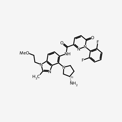 COCCn1c(C)nc2c(N3CC[C@H](N)C3)c(NC(=O)c3ccc(=O)n(-c4c(F)cccc4F)n3)ccc21